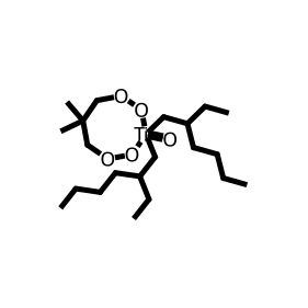 CCCCC(CC)[CH2][Ti]1(=[O])([CH2]C(CC)CCCC)[O]OCC(C)(C)CO[O]1